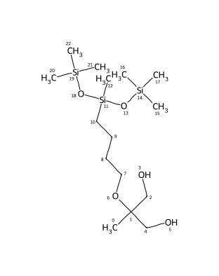 CC(CO)(CO)OCCCC[Si](C)(O[Si](C)(C)C)O[Si](C)(C)C